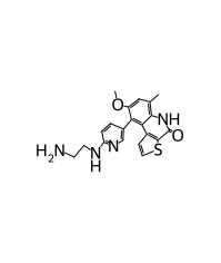 COc1cc(C)c2[nH]c(=O)c3sccc3c2c1-c1ccc(NCCN)nc1